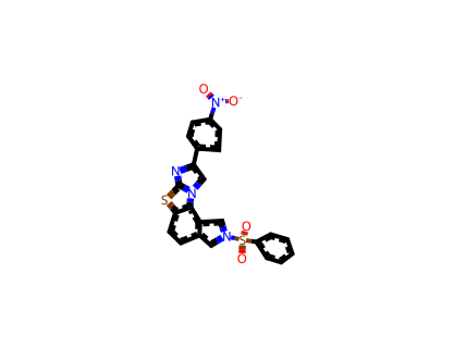 O=[N+]([O-])c1ccc(-c2cn3c(n2)sc2ccc4cn(S(=O)(=O)c5ccccc5)cc4c23)cc1